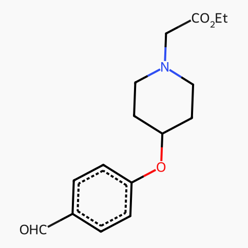 CCOC(=O)CN1CCC(Oc2ccc(C=O)cc2)CC1